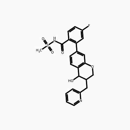 CS(=O)(=O)NC(=O)c1ccc(F)cc1-c1ccc2c(c1)OCC(Cc1ccccn1)C2O